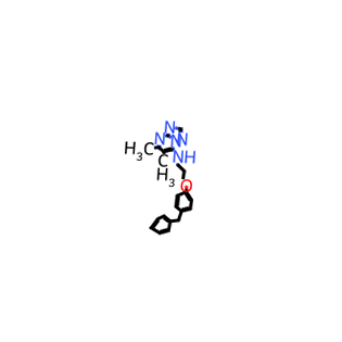 Cc1nc2ncnn2c(NCCCOc2ccc(Cc3ccccc3)cc2)c1C